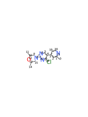 Cc1cc(-c2cnc(N3CC(C)OC(C)C3)nc2Cl)ccn1